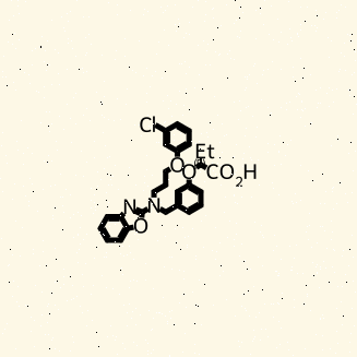 CC[C@@H](Oc1cccc(CN(CCCOc2cccc(Cl)c2)c2nc3ccccc3o2)c1)C(=O)O